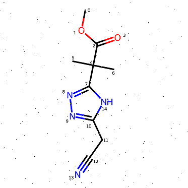 COC(=O)C(C)(C)c1nnc(CC#N)[nH]1